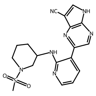 CS(=O)(=O)N1CCCC(Nc2ncccc2-c2cnc3[nH]cc(C#N)c3n2)C1